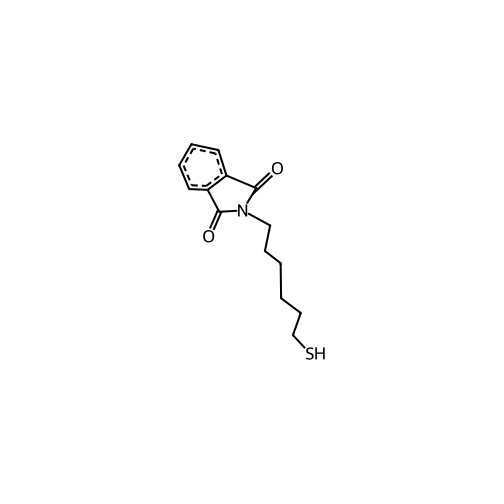 O=C1c2ccccc2C(=O)N1CCCCCCS